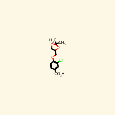 CC1(C)OCC(COc2ccc(C(=O)O)cc2Cl)O1